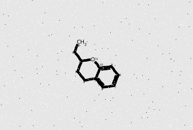 [CH2]CC1CCc2ccccc2O1